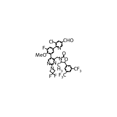 COc1c(F)cc(-c2ncc(C=O)cc2Cl)cc1-c1cnc(N2CC(F)(F)C2)nc1CN1C(=O)OC(c2cc(C(F)(F)F)cc(C(F)(F)F)c2)C1C